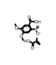 C=C(C)C(=O)O.COc1cc(C(=O)O)c([N+](=O)[O-])cc1OC